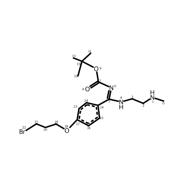 CNCCN/C(=N/C(=O)OC(C)(C)C)c1ccc(OCCCBr)cc1